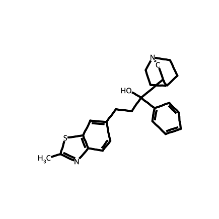 Cc1nc2ccc(CCC(O)(c3ccccc3)C3CN4CCC3CC4)cc2s1